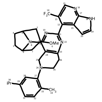 COC1CC2CCC(C1)N2c1nc(-c2c(C(F)(F)F)cnc3[nH]ccc23)nc2c1CN(c1cc(C(C)C)ccc1C)CC2